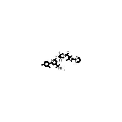 Cc1ccc(-c2cc(C(C)(C)N)cc(O[C@@H]3[C@@H]4CN(C(=O)c5sc(-c6ncccn6)nc5C)C[C@@H]43)n2)c(C)c1